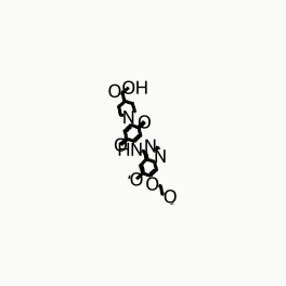 COCCOc1cc2ncnc(NC3=CC(=O)C(N4CCC(C(=O)O)CC4)=CC3=O)c2cc1OC